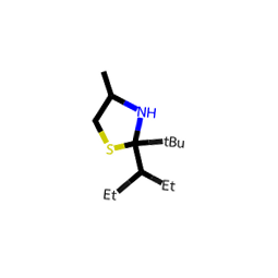 CCC(CC)C1(C(C)(C)C)NC(C)CS1